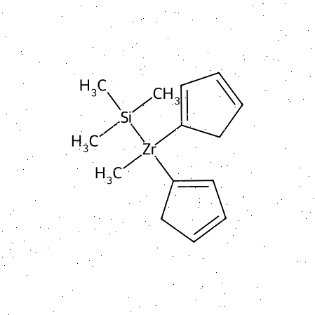 C[Si](C)(C)[Zr]([CH3])([C]1=CC=CC1)[C]1=CC=CC1